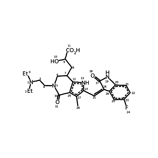 CCN(CC)CCN1CC(CC(O)C(=O)O)c2[nH]c(C=C3C(=O)Nc4ccc(F)cc43)c(C)c2C1=O